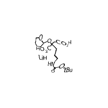 CC(C)(C)OC(=O)NCCCC(OC1CCCCO1)(C(=O)O)C(=O)O.[LiH]